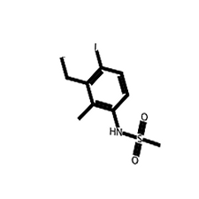 [CH2]Cc1c(I)ccc(NS(C)(=O)=O)c1C